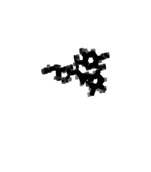 CC[C@H](NC(=O)OC(C)(C)C)[C@H](Nc1nc(Nc2cnc(C)c(F)c2)c(C#N)cc1F)C1CC1